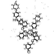 CN1CCN(c2ccc(Nc3nc4c(OCc5ccccc5N(C)S(=O)(=O)CN(c5ccc(N6CCN(C)CC6)cc5)c5nc6c(OCc7cccc(Cl)c7)cccn6n5)cccn4n3)cc2)CC1